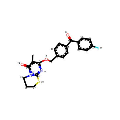 Cc1c(OCc2ccc(C(=O)c3ccc(F)cc3)cc2)nc2n(c1=O)CCCS2